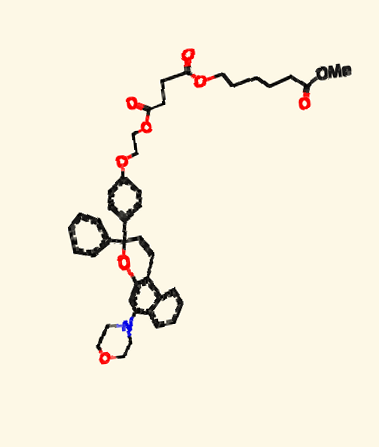 COC(=O)CCCCCOC(=O)CCC(=O)OCCOc1ccc(C2(c3ccccc3)C=Cc3c(cc(N4CCOCC4)c4ccccc34)O2)cc1